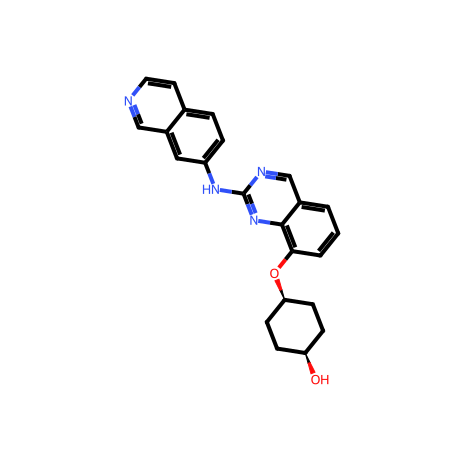 O[C@H]1CC[C@@H](Oc2cccc3cnc(Nc4ccc5ccncc5c4)nc23)CC1